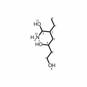 CCC(CC(O)CCO)C(N)O